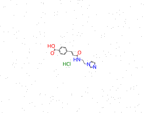 Cl.O=C(C=Cc1ccc(C(=O)O)cc1)NCCn1ccnc1